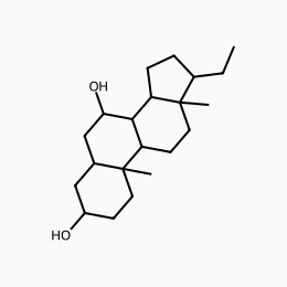 CCC1CCC2C3C(O)CC4CC(O)CCC4(C)C3CCC12C